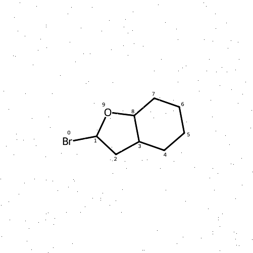 BrC1CC2CCCCC2O1